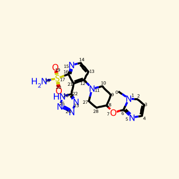 CN1CC=CN=C1OC1CCN(c2ccnc(S(N)(=O)=O)c2-c2nnn[nH]2)CC1